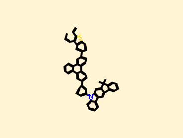 C=Cc1sc2ccc(-c3ccc4c5ccc(-c6cccc(-n7c8ccccc8c8cc9c(cc87)C(C)(C)c7ccccc7-9)c6)cc5c5ccccc5c4c3)cc2c1/C=C\C